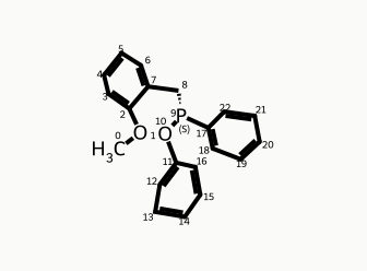 COc1ccccc1C[P@@](Oc1ccccc1)c1ccccc1